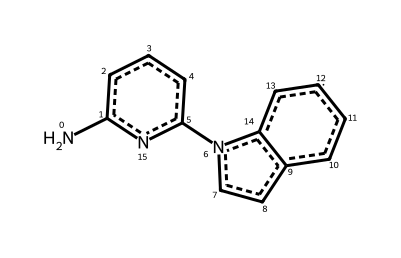 Nc1cccc(-n2ccc3cc[c]cc32)n1